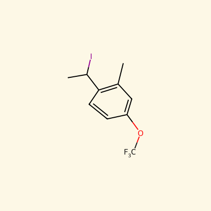 Cc1cc(OC(F)(F)F)ccc1C(C)I